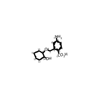 Nc1ccc(C(=O)O)c(COC2CCCCC2O)c1